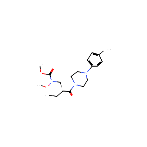 CCCCON(C[C@H](CC(C)C)C(=O)N1CCN(c2ccc(OC)cc2)CC1)C(=O)OC(C)(C)C